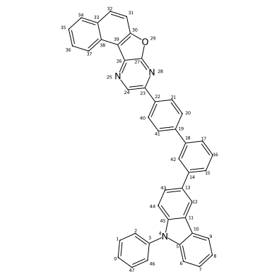 c1ccc(-n2c3ccccc3c3cc(-c4cccc(-c5ccc(-c6cnc7c(n6)oc6ccc8ccccc8c67)cc5)c4)ccc32)cc1